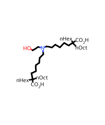 CCCCCCCCC(CCCCCC)(CCCCCCN(CCO)CCCCCCC(CCCCCC)(CCCCCCCC)C(=O)O)C(=O)O